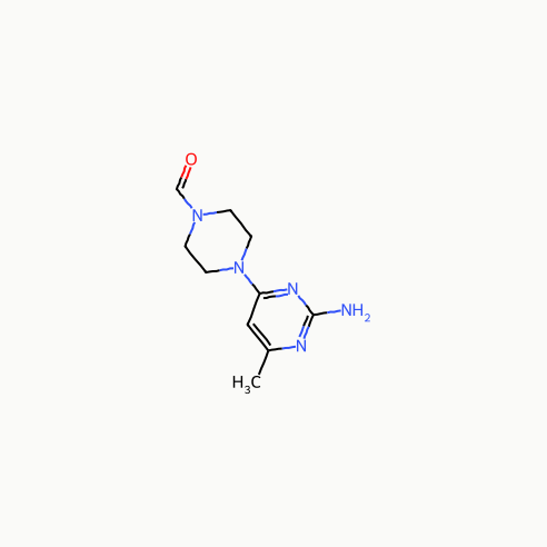 Cc1cc(N2CCN(C=O)CC2)nc(N)n1